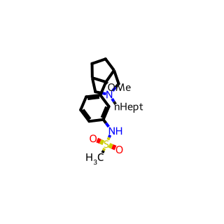 CCCCCCCN1CC2CCC(C1)C2(OC)c1cccc(NS(C)(=O)=O)c1